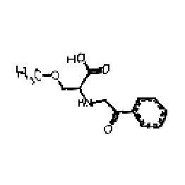 COCC(NCC(=O)c1ccccc1)C(=O)O